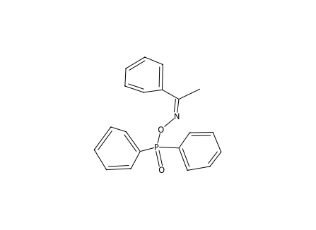 CC(=NOP(=O)(c1ccccc1)c1ccccc1)c1ccccc1